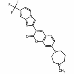 CN1CCCN(c2ccc3cc(-c4cn5ccc(C(F)(F)F)cc5n4)c(=O)oc3c2)CC1